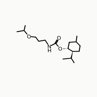 CC1CC[C@@H](C(C)C)[C@H](OC(=O)NCCCOC(C)C)C1